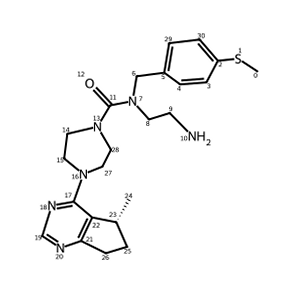 CSc1ccc(CN(CCN)C(=O)N2CCN(c3ncnc4c3[C@H](C)CC4)CC2)cc1